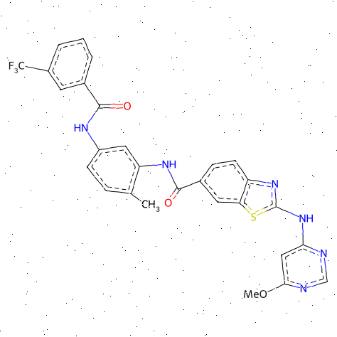 COc1cc(Nc2nc3ccc(C(=O)Nc4cc(NC(=O)c5cccc(C(F)(F)F)c5)ccc4C)cc3s2)ncn1